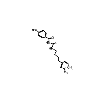 C/C=C\C(=C/C)CCCCNC(=S)NC(=O)c1ccc(C(C)(C)C)cc1